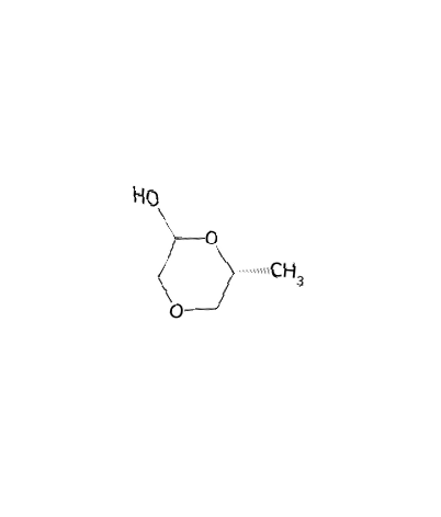 C[C@@H]1COCC(O)O1